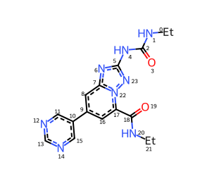 CCNC(=O)Nc1nc2cc(-c3cncnc3)cc(C(=O)NCC)n2n1